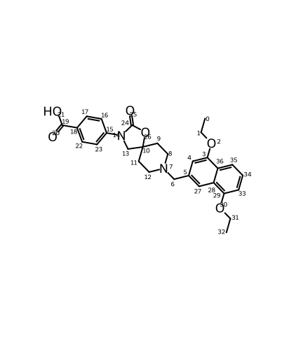 CCOc1cc(CN2CCC3(CC2)CN(c2ccc(C(=O)O)cc2)C(=O)O3)cc2c(OCC)cccc12